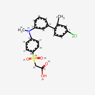 Cc1cc(Cl)ccc1-c1cccc(N(C)c2ccc(S(=O)(=O)CC(=O)O)cc2)c1